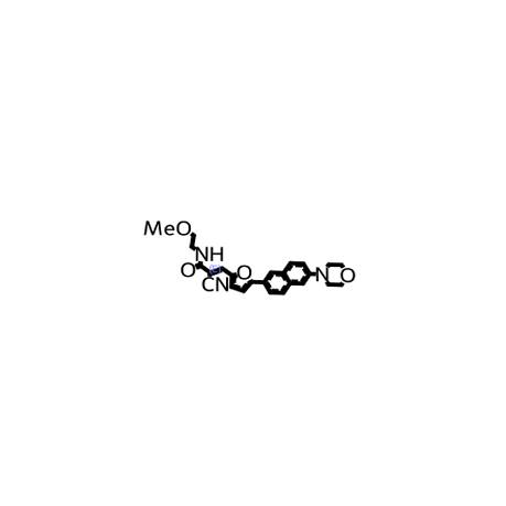 COCCNC(=O)/C(C#N)=C/c1ccc(-c2ccc3cc(N4CCOCC4)ccc3c2)o1